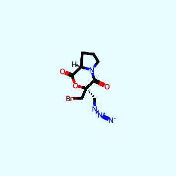 [N-]=[N+]=NC[C@]1(CBr)OC(=O)[C@H]2CCCN2C1=O